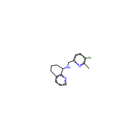 Cc1nc(CNC2CCCc3cccnc32)ccc1Br